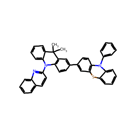 CC1(C)c2ccccc2N(c2ccc3ccccc3n2)c2ccc(-c3ccc4c(c3)Sc3ccccc3N4c3ccccc3)cc21